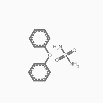 NS(N)(=O)=O.c1ccc(Oc2ccccc2)cc1